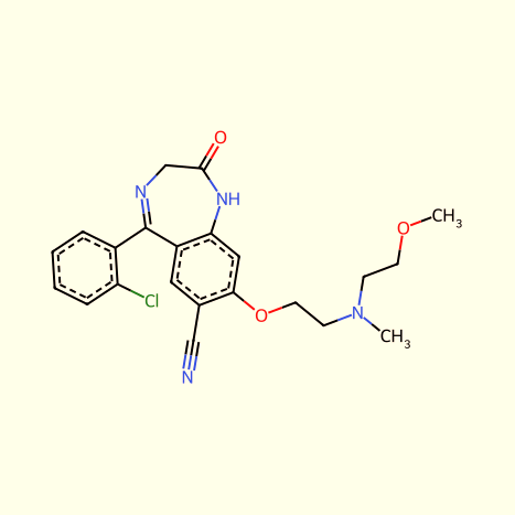 COCCN(C)CCOc1cc2c(cc1C#N)C(c1ccccc1Cl)=NCC(=O)N2